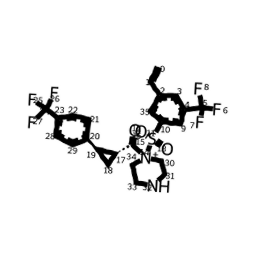 C=Cc1cc(C(F)(F)F)cc(S(=O)(=O)[N+]2(C(=O)[C@@H]3C[C@H]3c3ccc(C(F)(F)F)cc3)CCNCC2)c1